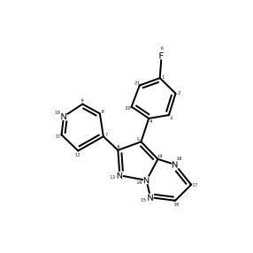 Fc1ccc(-c2c(-c3ccncc3)nn3nccnc23)cc1